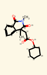 CN1C(=O)c2ccccc2C(C)(CC(=O)OC2CCCCC2)C1=O